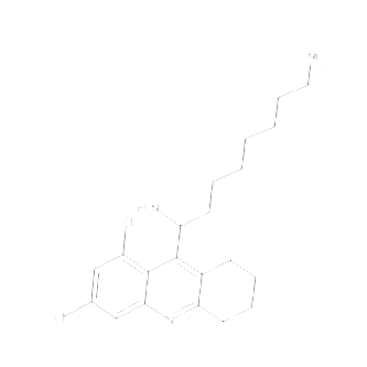 NCCCCCCCC(N)c1c2c(nc3cc(Cl)cc(Cl)c13)CCCC2